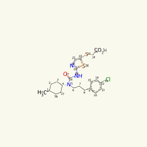 C[C@H]1CC[C@H](N(CCCc2ccc(Cl)cc2)C(=O)Nc2ncc(SCC(=O)O)s2)CC1